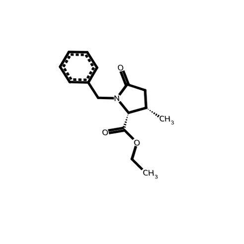 CCOC(=O)[C@H]1[C@@H](C)CC(=O)N1Cc1ccccc1